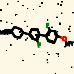 CCCOc1ccc(-c2ccc(C3CC[SiH](OC)CC3)cc2F)c(F)c1